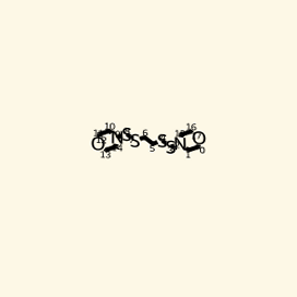 C1CN(SSCCSSN2CCOCC2)CCO1